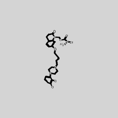 CCN(N)C(=O)OCN1C(=O)CCc2ccc(OCCCCN3CCN(c4cccc(Cl)c4Cl)CC3)cc21